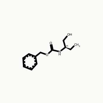 CC[C@H](CO)NC(=O)OCc1ccccc1